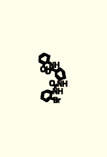 O=C(Nc1cccc(C(=O)Nc2ccccc2O)c1)Nc1ccccc1Br